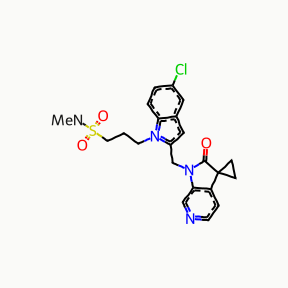 CNS(=O)(=O)CCCn1c(CN2C(=O)C3(CC3)c3ccncc32)cc2cc(Cl)ccc21